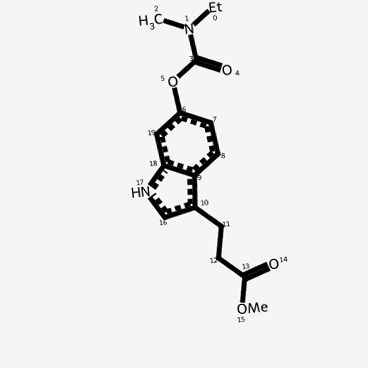 CCN(C)C(=O)Oc1ccc2c(CCC(=O)OC)c[nH]c2c1